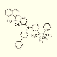 CC1(C)c2cc(N(c3ccc(-c4ccccc4)cc3)c3ccc4c(c3)C(C)(C)C(C)(C)c3ccccc3-4)ccc2-c2ccc3ccccc3c21